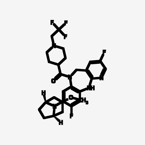 CO[C@@H]1C[C@H]2CC[C@@H](C1)N2c1cc2c(cc1F)Nc1ncc(F)cc1CN2C(=O)C1CCN(CC(F)(F)F)CC1